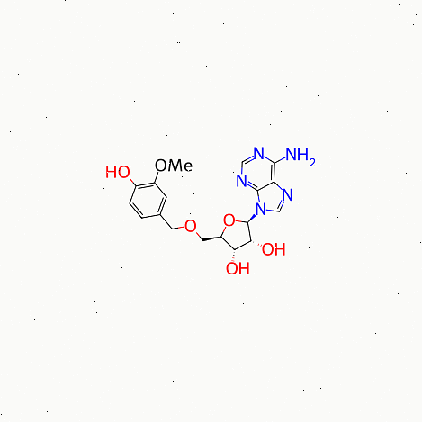 COc1cc(COC[C@H]2O[C@@H](n3cnc4c(N)ncnc43)[C@H](O)[C@@H]2O)ccc1O